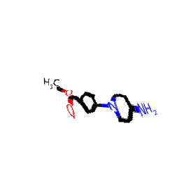 CCOC(=O)c1ccc(N2CCC(N)CC2)cc1